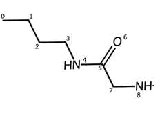 CCCCNC(=O)C[NH]